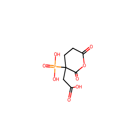 O=C(O)CC1(P(=O)(O)O)CCC(=O)OC1=O